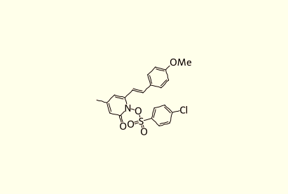 COc1ccc(C=Cc2cc(C)cc(=O)n2OS(=O)(=O)c2ccc(Cl)cc2)cc1